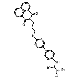 CCN(CC)C(O)Nc1ccc(-c2ccc(NCCCN3C(=O)c4cccc5cccc(c45)C3=O)cc2)cc1